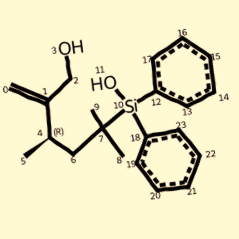 C=C(CO)[C@H](C)CC(C)(C)[Si](O)(c1ccccc1)c1ccccc1